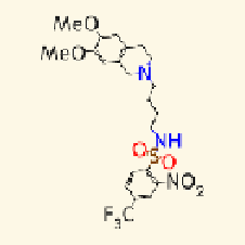 COc1cc2c(cc1OC)CN(CCCCNS(=O)(=O)c1ccc(C(F)(F)F)cc1[N+](=O)[O-])CC2